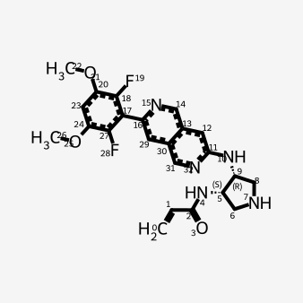 C=CC(=O)N[C@H]1CNC[C@H]1Nc1cc2cnc(-c3c(F)c(OC)cc(OC)c3F)cc2cn1